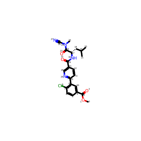 COC(=O)c1ccc(Cl)c(-c2ccc(C(=O)N[C@@H](CC(C)C)C(=O)N(C)C#N)cn2)c1